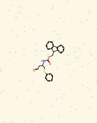 O=CCC(CSc1ccccc1)NC(=O)OCC1c2ccccc2-c2ccccc21